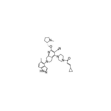 Cc1ccc2[nH]ncc2c1N1CCc2c(nc(OC[C@@H]3CCCN3C)c(C#N)c2N2CCN(C(=O)/C=C/C3CC3)CC2)C1